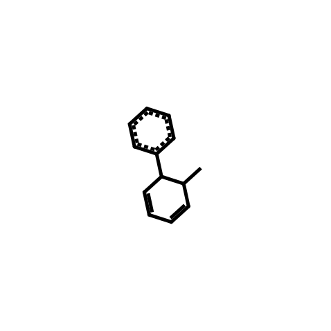 CC1C=CC=CC1c1ccccc1